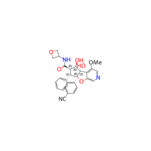 COc1cncc2c1[C@]1(O)[C@H](O)[C@H](C(=O)NC3COC3)[C@@H](c3ccccc3)[C@]1(c1ccc(C#N)cc1)O2